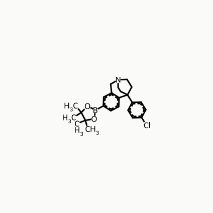 CC1(C)OB(c2ccc3c(c2)CN2CCC3(c3ccc(Cl)cc3)CC2)OC1(C)C